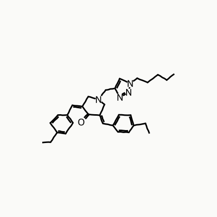 CCCCCn1cc(CN2C/C(=C/c3ccc(CC)cc3)C(=O)/C(=C/c3ccc(CC)cc3)C2)nn1